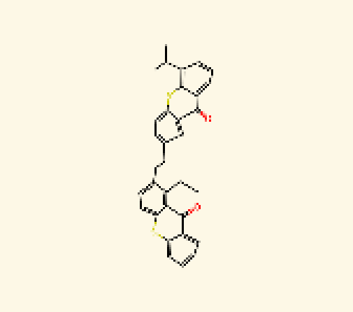 CCc1c(CCc2ccc3sc4c(C(C)C)cccc4c(=O)c3c2)ccc2sc3ccccc3c(=O)c12